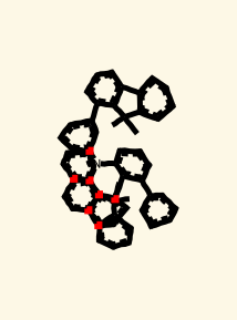 CC1(C)c2ccccc2-c2cccc(-c3cccc(N(c4cccc(-c5ccccc5)c4-c4ccccc4-c4ccccc4)c4cccc5c4C(C)(C)c4ccccc4-5)c3)c21